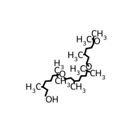 CC(CCO)CCCC(C)(C)OCCC(C)CCCC(C)(C)OCCC(C)CCC1OC1(C)C